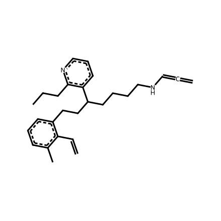 C=C=CNCCCCC(CCc1cccc(C)c1C=C)c1cccnc1CCC